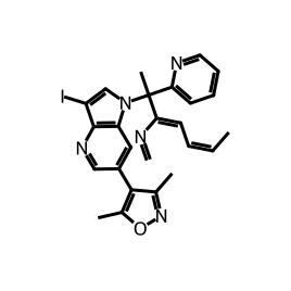 C=N/C(=C\C=C/C)C(C)(c1ccccn1)n1cc(I)c2ncc(-c3c(C)noc3C)cc21